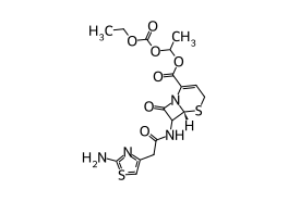 CCOC(=O)OC(C)OC(=O)C1=CCS[C@@H]2C(NC(=O)Cc3csc(N)n3)C(=O)N12